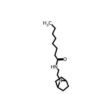 CCCCCCCC(=O)NCCN1C2CCC1CC2